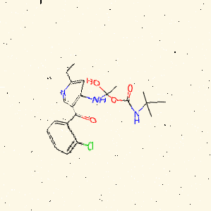 CCc1cc(NC(C)(O)OC(=O)NC(C)(C)C)c(C(=O)c2ccccc2Cl)cn1